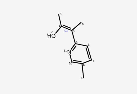 C/C(O)=C(\C)c1ccc(C)cn1